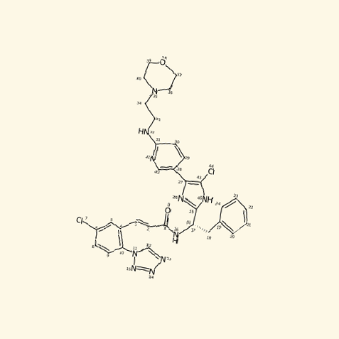 O=C(C=Cc1cc(Cl)ccc1-n1cnnn1)N[C@@H](Cc1ccccc1)c1nc(-c2ccc(NCCN3CCOCC3)nc2)c(Cl)[nH]1